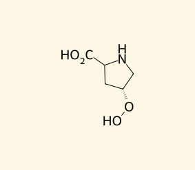 O=C(O)C1C[C@@H](OO)CN1